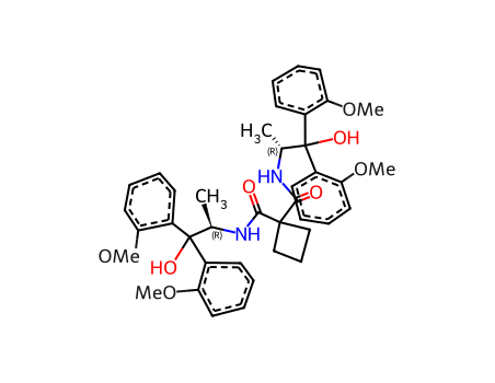 COc1ccccc1C(O)(c1ccccc1OC)[C@@H](C)NC(=O)C1(C(=O)N[C@H](C)C(O)(c2ccccc2OC)c2ccccc2OC)CCC1